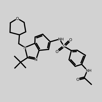 CC(=O)Nc1ccc(S(=O)(=O)Nc2ccc3c(c2)nc(C(C)(C)C)n3CC2CCOCC2)cc1